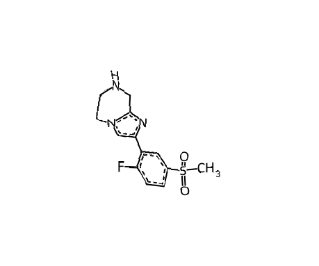 CS(=O)(=O)c1ccc(F)c(-c2cn3c(n2)CNCC3)c1